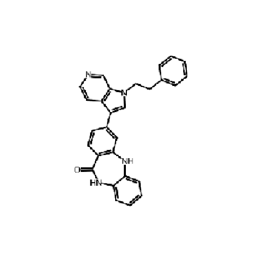 O=C1Nc2ccccc2Nc2cc(-c3cn(CCc4ccccc4)c4cnccc34)ccc21